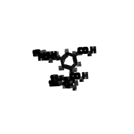 CC(C)(C)N.CC(C)(C)N.CC(C)(C)N.O=C(O)c1cc(C(=O)O)cc(C(=O)O)c1